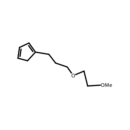 COCCOCCCC1=CC=CC1